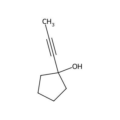 CC#CC1(O)CCCC1